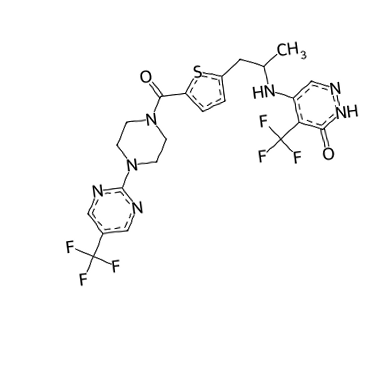 CC(Cc1ccc(C(=O)N2CCN(c3ncc(C(F)(F)F)cn3)CC2)s1)Nc1cn[nH]c(=O)c1C(F)(F)F